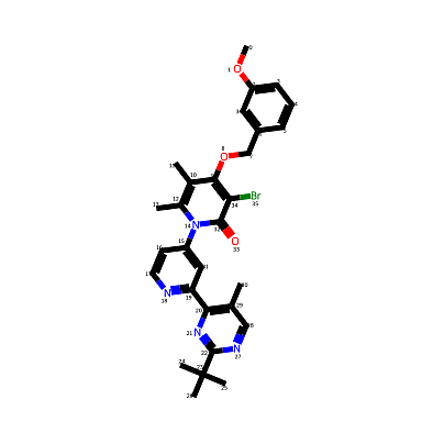 COc1cccc(COc2c(C)c(C)n(-c3ccnc(-c4nc(C(C)(C)C)ncc4C)c3)c(=O)c2Br)c1